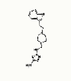 Nn1cnc(NCC2CCN(CCc3c[nH]c4ccccc34)CC2)n1